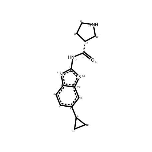 O=C(Nc1nc2ccc(C3CC3)cc2s1)[C@@H]1CCNC1